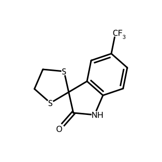 O=C1Nc2ccc(C(F)(F)F)cc2C12SCCS2